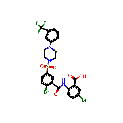 O=C(Nc1ccc(Br)cc1C(=O)O)c1cc(S(=O)(=O)N2CCN(c3cccc(C(F)(F)F)c3)CC2)ccc1Br